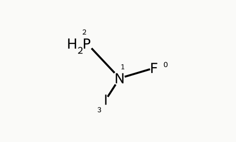 FN(P)I